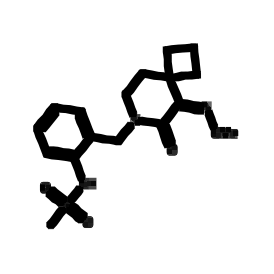 CON=C1C(=O)N(Cc2ccccc2NS(C)(=O)=O)CCC12CCC2